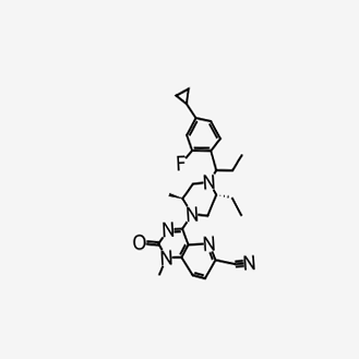 CCC(c1ccc(C2CC2)cc1F)N1C[C@H](C)N(c2nc(=O)n(C)c3ccc(C#N)nc23)C[C@H]1CC